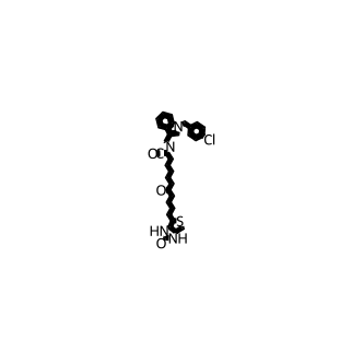 O=C=C(CCCCCC(=O)CCCCC1SCC2NC(=O)NC21)/N=C/c1cn(Cc2ccc(Cl)cc2)c2ccccc12